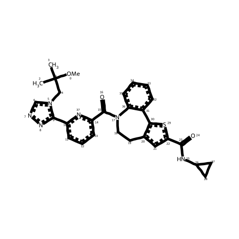 COC(C)(C)Cn1cnnc1-c1cccc(C(=O)N2CCc3cc(C(=O)NC4CC4)sc3-c3ccccc32)n1